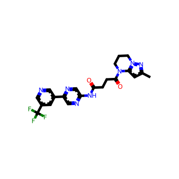 Cc1cc2n(n1)CCCN2C(=O)CCC(=O)Nc1cnc(-c2cncc(C(F)(F)F)c2)cn1